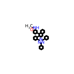 CC1Nc2cc(-c3c(-c4ccccc4-c4nc(-c5ccccc5)nc(-c5ccccc5)n4)ccc4ccccc34)ccc2O1